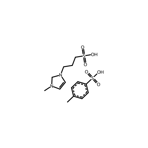 CN1C=CN(CCCS(=O)(=O)O)C1.Cc1ccc(S(=O)(=O)O)cc1